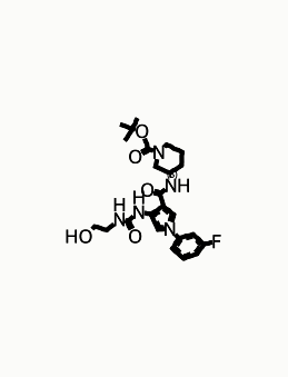 CC(C)(C)OC(=O)N1CCC[C@H](NC(=O)c2cn(-c3cccc(F)c3)cc2NC(=O)NCCO)C1